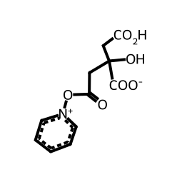 O=C(O)CC(O)(CC(=O)O[n+]1ccccc1)C(=O)[O-]